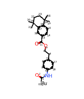 CCC(C)C(=O)Nc1ccc(CCOC(=O)c2ccc3c(c2)C(C)(C)CCC3(C)C)cc1